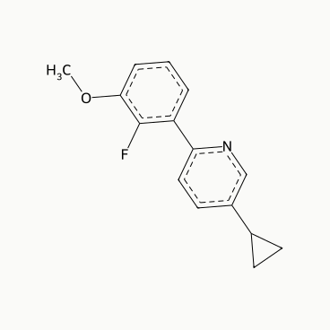 COc1cccc(-c2ccc(C3CC3)cn2)c1F